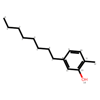 CCCCCCCCc1ccc(C)c(O)c1